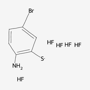 F.F.F.F.F.Nc1ccc(Br)cc1[S]